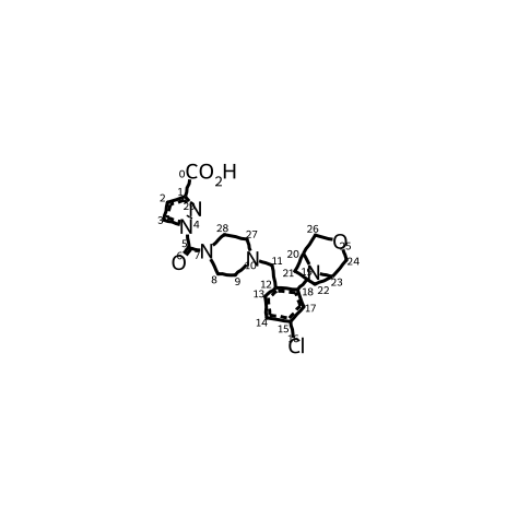 O=C(O)c1ccn(C(=O)N2CCN(Cc3ccc(Cl)cc3N3C4CCC3COC4)CC2)n1